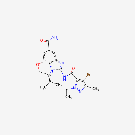 CCn1nc(C)c(Br)c1C(=O)Nc1nc2cc(C(N)=O)cc3c2n1[C@@H](C(C)C)CO3